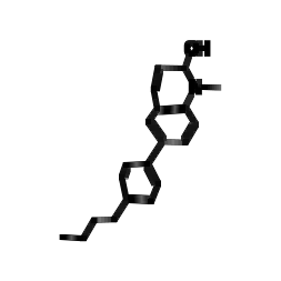 CCCCc1ccc(-c2ccc3c(c2)C=CC(O)N3C)cc1